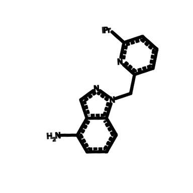 CC(C)c1cccc(Cn2ncc3c(N)cccc32)n1